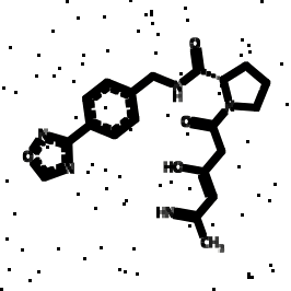 CC(=N)/C=C(\O)CC(=O)N1CCC[C@H]1C(=O)NCc1ccc(-c2ncon2)cc1